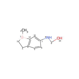 CB1CCc2ccc(NCO)cc21